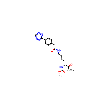 COC(=O)[C@@H](CCCCNC(=O)Cc1ccc(-c2nncnn2)cc1)NC(=O)OC(C)(C)C